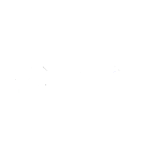 FCC/C=C/C1CCC(CCc2cc(F)c(C(F)(F)F)c(F)c2)CC1